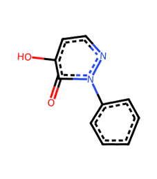 O=c1c(O)ccnn1-c1ccccc1